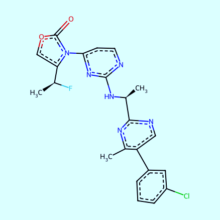 Cc1nc([C@H](C)Nc2nccc(-n3c([C@H](C)F)coc3=O)n2)ncc1-c1cccc(Cl)c1